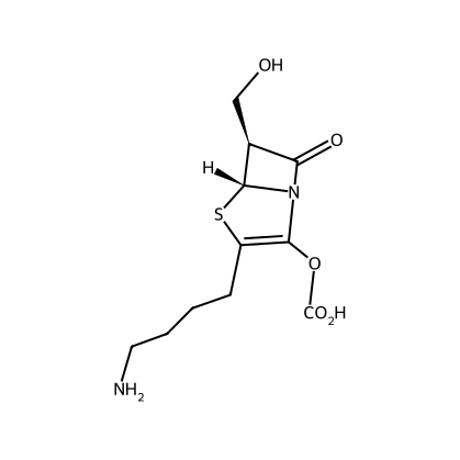 NCCCCC1=C(OC(=O)O)N2C(=O)[C@H](CO)[C@H]2S1